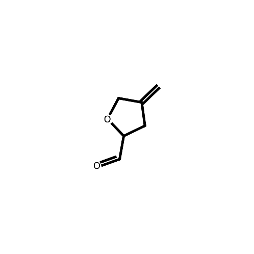 C=C1COC(C=O)C1